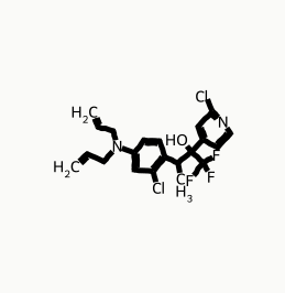 C=CCN(CC=C)c1ccc(C(C)C(O)(c2ccnc(Cl)c2)C(F)(F)F)c(Cl)c1